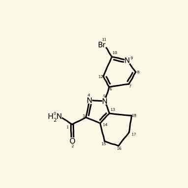 NC(=O)c1nn(-c2ccnc(Br)c2)c2c1CCCC2